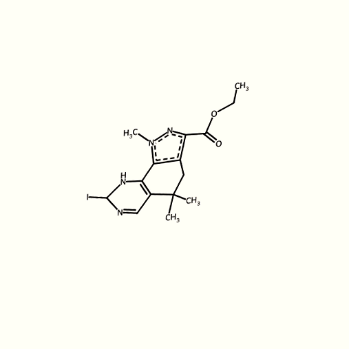 CCOC(=O)c1nn(C)c2c1CC(C)(C)C1=C2NC(I)N=C1